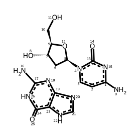 Nc1ccn([C@H]2C[C@H](O)[C@@H](CO)O2)c(=O)n1.Nc1nc2nc[nH]c2c(=O)[nH]1